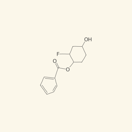 O=C(OC1CCC(O)CC1F)c1ccccc1